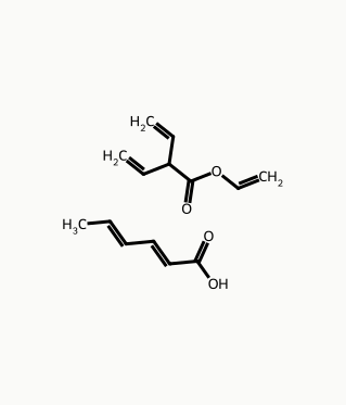 C/C=C/C=C/C(=O)O.C=COC(=O)C(C=C)C=C